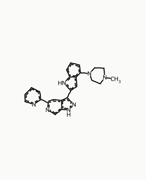 CN1CCN(c2cccc3[nH]c(-c4n[nH]c5cnc(-c6ccccn6)cc45)cc23)CC1